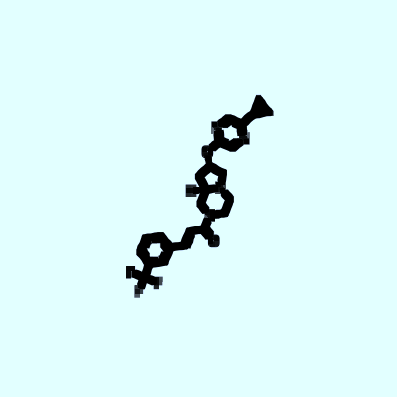 O=C(C=Cc1cccc(C(F)(F)F)c1)N1CCN2C[C@H](Oc3cnc(C4CC4)cn3)C[C@H]2C1